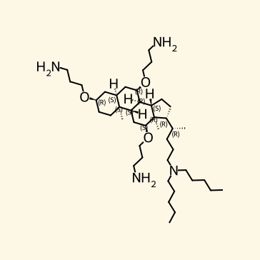 CCCCCN(CCCCC)CCC[C@@H](C)[C@H]1CC[C@H]2[C@@H]3[C@H](OCCCN)C[C@@H]4C[C@H](OCCCN)CC[C@]4(C)[C@H]3C[C@H](OCCCN)[C@]12C